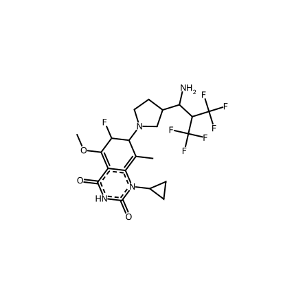 COC1=c2c(=O)[nH]c(=O)n(C3CC3)c2=C(C)C(N2CCC(C(N)C(C(F)(F)F)C(F)(F)F)C2)C1F